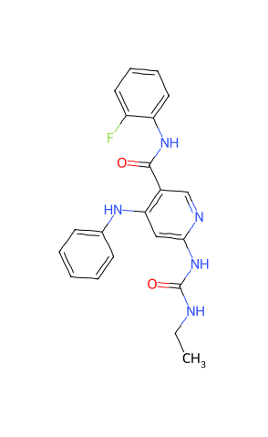 CCNC(=O)Nc1cc(Nc2ccccc2)c(C(=O)Nc2ccccc2F)cn1